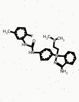 Cc1ccc(F)c(NC(=O)Nc2ccc([N+]3(CCN(C)C)N=C(N)c4ccccc43)cc2)c1